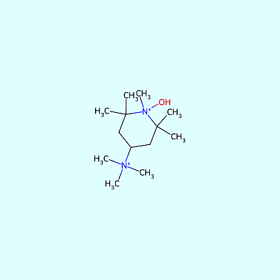 CC1(C)CC([N+](C)(C)C)CC(C)(C)[N+]1(C)O